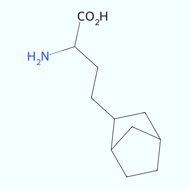 NC(CCC1CC2CCC1C2)C(=O)O